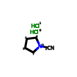 Cl.Cl.N#CN1CCCC1